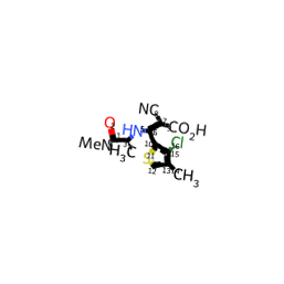 CNC(=O)[C@@H](C)NC(=C(C#N)C(=O)O)c1scc(C)c1Cl